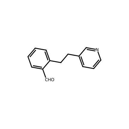 O=Cc1ccccc1CCc1cccnc1